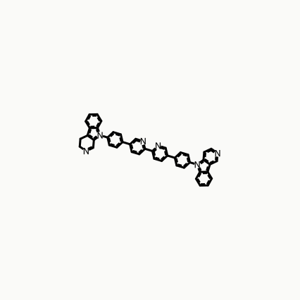 C1=NCCc2c1n(-c1ccc(-c3ccc(-c4ccc(-c5ccc(-n6c7ccccc7c7cnccc76)cc5)cn4)nc3)cc1)c1ccccc21